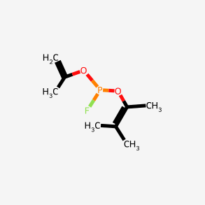 C=C(C)OP(F)OC(C)=C(C)C